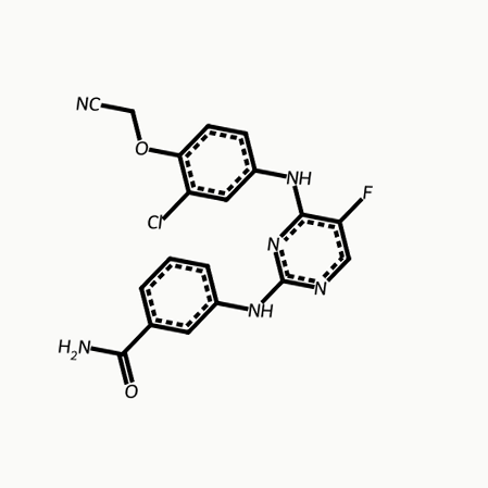 N#CCOc1ccc(Nc2nc(Nc3cccc(C(N)=O)c3)ncc2F)cc1Cl